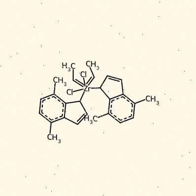 C[CH]=[Zr]([Cl])([Cl])(=[CH]C)([CH]1C=Cc2c(C)ccc(C)c21)[CH]1C=Cc2c(C)ccc(C)c21